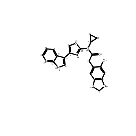 O=C(Cc1cc2c(cc1Cl)OCO2)N(c1nc(-c2c[nH]c3ncccc23)cs1)C1CC1